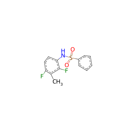 Cc1c(F)ccc(NS(=O)(=O)c2ccccc2)c1F